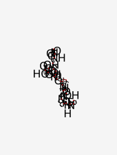 Cc1c(-c2ccc(N3CCc4cccc(C(=O)Nc5nc6ccccc6s5)c4C3)nc2C(=O)O)cnn1CC12CC3(C)CC(C)(C1)CC(OCCN(C)C(=O)OCc1ccc(CCCNC(=O)CN4C(=O)C=CC4=O)cc1OC1O[C@H](C(=O)O)C[C@H](O)[C@H]1O)(C3)C2